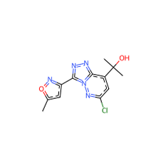 Cc1cc(-c2nnc3c(C(C)(C)O)cc(Cl)nn23)no1